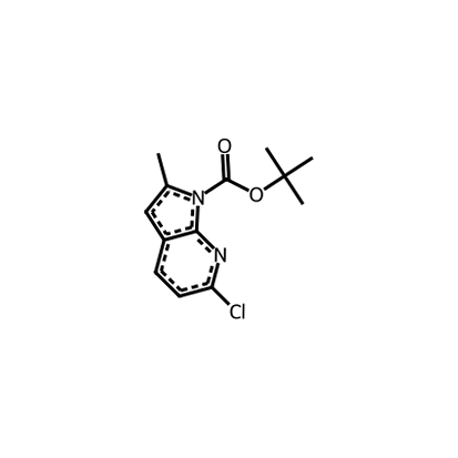 Cc1cc2ccc(Cl)nc2n1C(=O)OC(C)(C)C